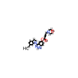 C#Cc1ccc2c(c1)N(c1ncnc3ccc(OC(=O)C#CCN4CCOCC4)cc13)CC2